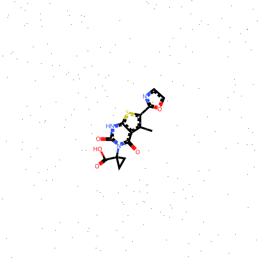 Cc1c(-c2ncco2)sc2[nH]c(=O)n(C3(C(=O)O)CC3)c(=O)c12